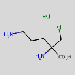 Cl.NCCCC(N)(CCl)C(=O)O